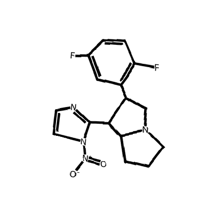 O=[N+]([O-])n1ccnc1C1C(c2cc(F)ccc2F)CN2CCCC12